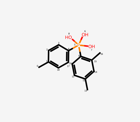 Cc1ccc(P(O)(O)(O)c2ccc(C)cc2C)cc1